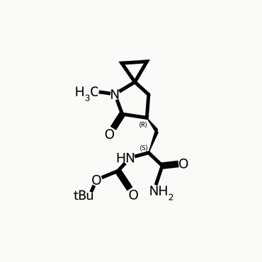 CN1C(=O)[C@H](C[C@H](NC(=O)OC(C)(C)C)C(N)=O)CC12CC2